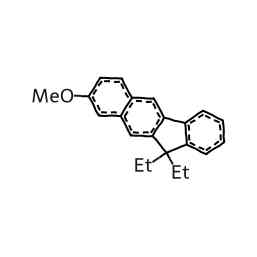 CCC1(CC)c2ccccc2-c2cc3ccc(OC)cc3cc21